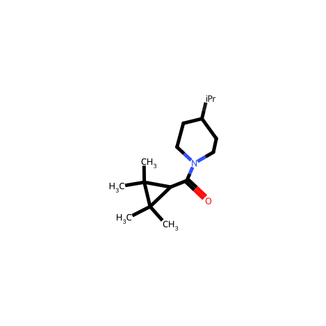 CC(C)C1CCN(C(=O)C2C(C)(C)C2(C)C)CC1